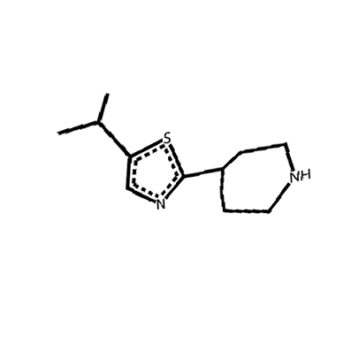 CC(C)c1cnc(C2CCNCC2)s1